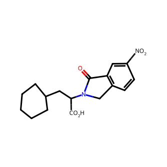 O=C(O)C(CC1CCCCC1)N1Cc2ccc([N+](=O)[O-])cc2C1=O